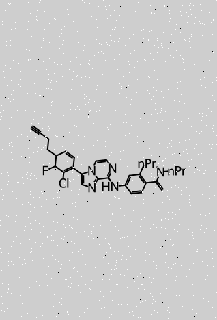 C#CCCC1C=CC(c2cnc3c(Nc4ccc(C(=C)N(CCC)CCC)c(C)c4)nccn23)=C(Cl)C1F